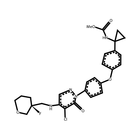 COC(=O)NC1(c2ccc(Oc3ccc(-n4ncc(NC[C@@]5(F)CCCOC5)c(Cl)c4=O)cc3)cc2)CC1